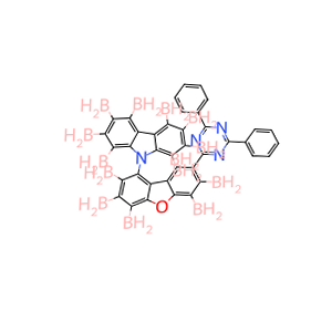 Bc1c(-c2nc(-c3ccccc3)nc(-c3ccccc3)n2)c(B)c2c(oc3c(B)c(B)c(B)c(-n4c5c(B)c(B)c(B)c(B)c5c5c(B)c(B)c(B)c(B)c54)c32)c1B